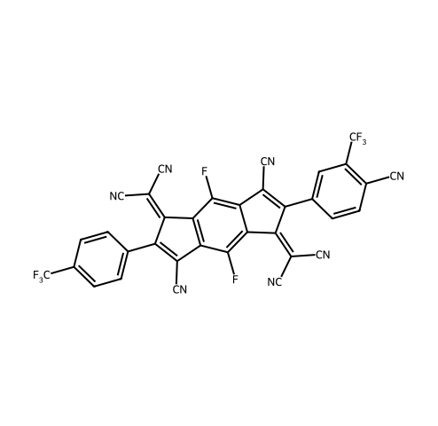 N#CC(C#N)=C1C(c2ccc(C(F)(F)F)cc2)=C(C#N)c2c(F)c3c(c(F)c21)C(C#N)=C(c1ccc(C#N)c(C(F)(F)F)c1)C3=C(C#N)C#N